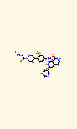 CCNCC(=O)N1CCC(c2ccc(Nc3nc(-c4cncnc4)cc4cc[nH]c(=O)c34)cc2C)CC1